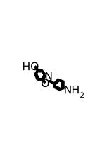 Nc1ccc(-c2nc3cc(O)ccc3o2)cc1